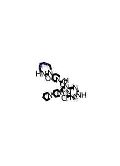 O=C(C[C@H](Nc1cnc[nH]cnc(Cl)n1)C(=O)N1CCC(N2CCCCC2)CC1)N1CCC(N2CC/C=C\C=C/CNC2=O)CC1